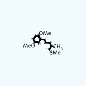 COc1ccc(OC)c(CCCC(C)CSC)c1